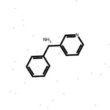 N.c1ccc(Cc2cccnc2)cc1